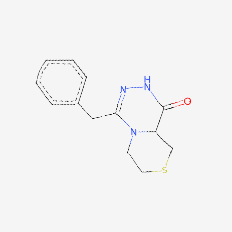 O=C1NN=C(Cc2ccccc2)N2CCSCC12